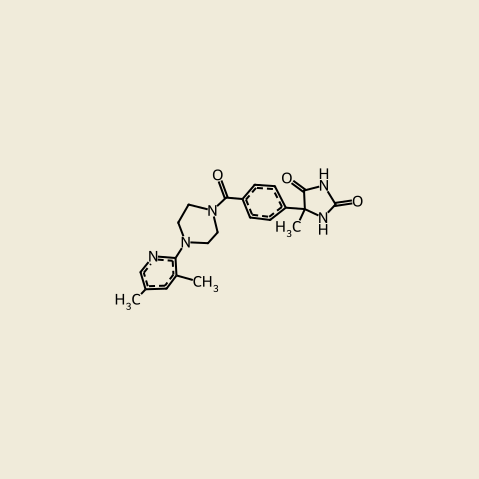 Cc1cnc(N2CCN(C(=O)c3ccc(C4(C)NC(=O)NC4=O)cc3)CC2)c(C)c1